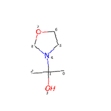 CC(C)(O)N1CCOC1